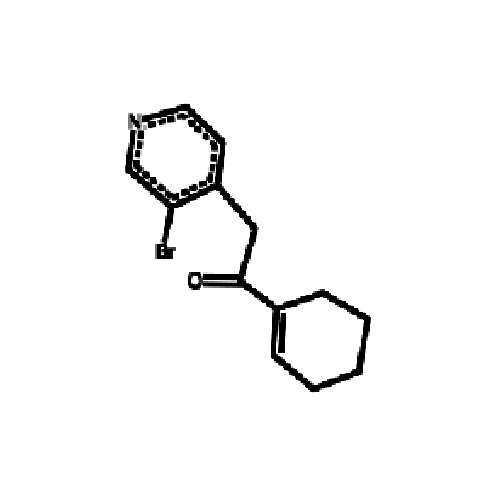 O=C(Cc1ccncc1Br)C1=CCCCC1